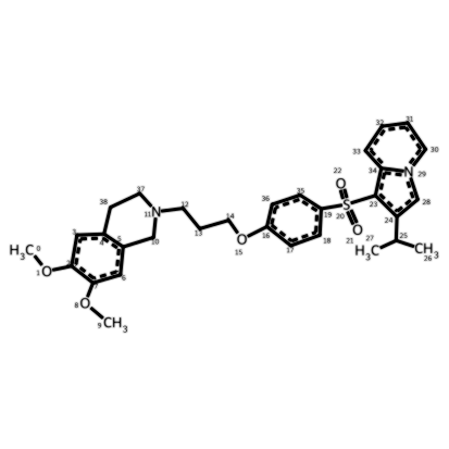 COc1cc2c(cc1OC)CN(CCCOc1ccc(S(=O)(=O)c3c(C(C)C)cn4ccccc34)cc1)CC2